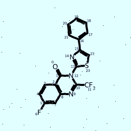 O=c1c2ccc(F)cc2nc(C(F)(F)F)n1-c1nc(-c2ccccc2)cs1